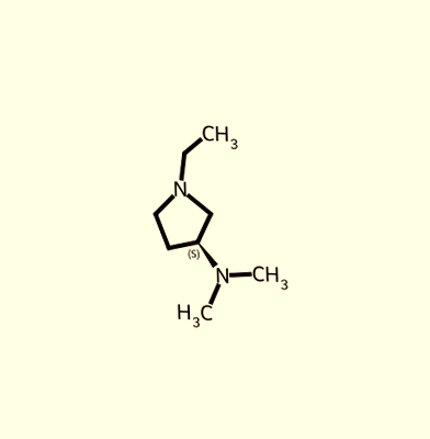 CCN1CC[C@H](N(C)C)C1